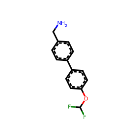 NCc1ccc(-c2ccc(OC(F)F)cc2)cc1